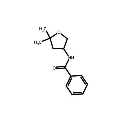 CC1(C)CC(NC(=O)c2ccccc2)CO1